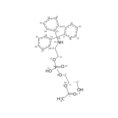 CC(=O)O[C@@H](CO)COP(=O)(O)OCCNC(c1ccccc1)(c1ccccc1)c1ccccc1